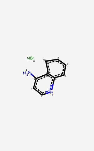 Br.Nc1ccnc2ccccc12